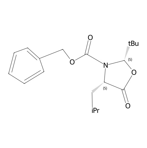 CC(C)C[C@H]1C(=O)O[C@@H](C(C)(C)C)N1C(=O)OCc1ccccc1